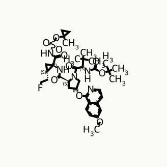 COc1ccc2c(O[C@@H]3C[C@@H](C(=O)N[C@]4(C(=O)NS(=O)(=O)OC5(C)CC5)C[C@H]4CCF)N(C(=O)[C@@H](NC(=O)OC(C)(C)C)C(C)(C)C)C3)nccc2c1